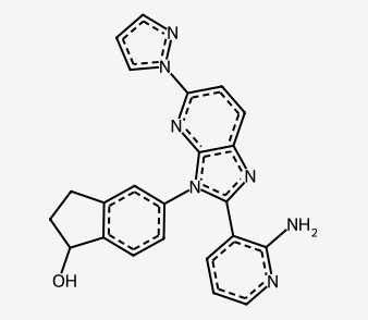 Nc1ncccc1-c1nc2ccc(-n3cccn3)nc2n1-c1ccc2c(c1)CCC2O